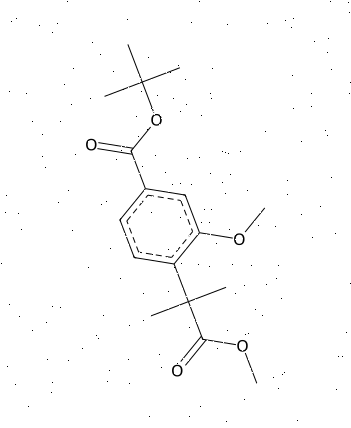 COC(=O)C(C)(C)c1ccc(C(=O)OC(C)(C)C)cc1OC